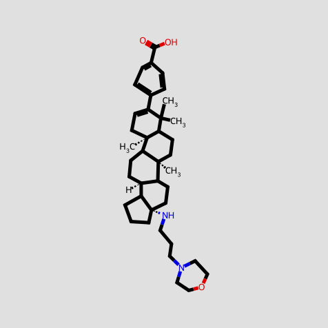 CC1(C)C(c2ccc(C(=O)O)cc2)=CC[C@@]2(C)C1CC[C@@]1(C)C3CC[C@@]4(NCCCN5CCOCC5)CCCC4[C@H]3CCC12